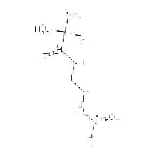 CC(C)(N)C(=O)NCCO[N+](=O)[O-]